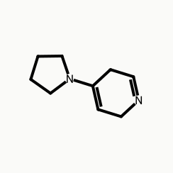 C1=NCC=C(N2CCCC2)C1